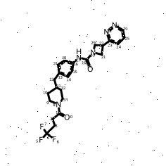 O=C(CCC(F)(F)F)N1CCC(Cc2ccc(NC(=O)N3CC(c4cccnn4)C3)cc2)CC1